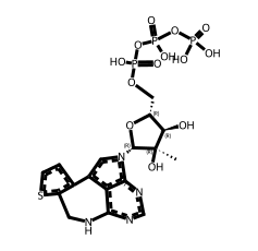 C[C@@]1(O)[C@H](O)[C@@H](COP(=O)(O)OP(=O)(O)OP(=O)(O)O)O[C@H]1n1cc2c3c(ncnc31)NCc1sccc1-2